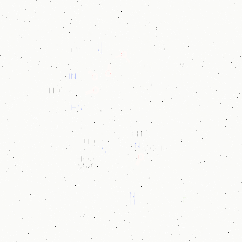 COc1ccc2[nH]c(-c3cccc(F)c3)cc(=O)c2c1C(Cc1ccc(NC(=O)[C@H](C)NC(=O)[C@@H](NC(=O)OCC2c3ccccc3-c3ccccc32)C(C)C)cc1)(CN(C)C(=O)O)N(C)C(=O)O